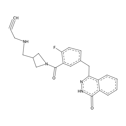 C#CCNCC1CN(C(=O)c2cc(Cc3n[nH]c(=O)c4ccccc34)ccc2F)C1